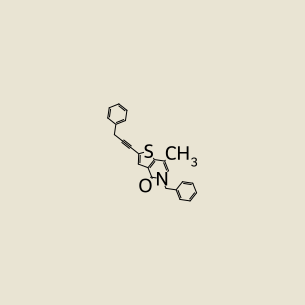 Cc1cn(Cc2ccccc2)c(=O)c2cc(C#CCc3ccccc3)sc12